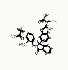 Cc1ccccc1CN1C(=O)c2ccccc2C1(O)c1ccc2[nH]c(N(C)C(=O)O)nc2c1.O=C(O)C(F)(F)F